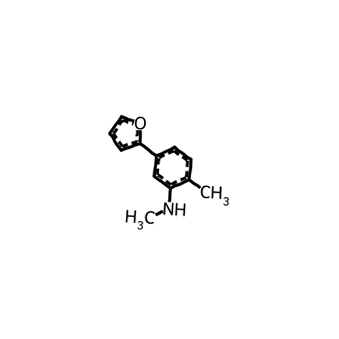 CNc1cc(-c2ccco2)ccc1C